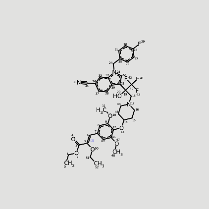 CCOC(=O)/C(=C/c1cc(OC)c(OC2CCN(CC(O)(c3cn(Cc4ccc(F)cc4)c4cc(C#N)ccc34)C(F)(F)F)CC2)c(OC)c1)OCC